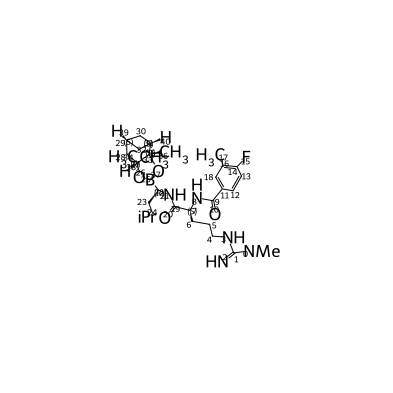 CNC(=N)NCCC[C@H](NC(=O)c1ccc(F)c(C)c1)C(=O)N[C@@H](CC(C)C)B1O[C@@H]2C[C@@H]3C[C@@H](C3(C)C)[C@]2(C)O1